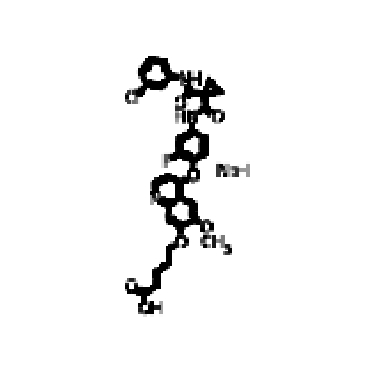 COc1cc2c(Oc3ccc(NC(=O)C4(C(=O)Nc5cccc(Cl)c5)CC4)cc3F)ccnc2cc1OCCCCC(=O)O.[NaH]